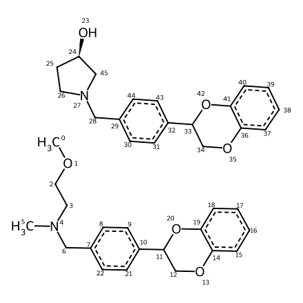 COCCN(C)Cc1ccc(C2COc3ccccc3O2)cc1.O[C@@H]1CCN(Cc2ccc(C3COc4ccccc4O3)cc2)C1